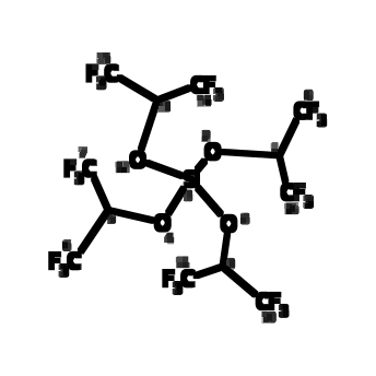 FC(F)(F)C(O[Si](OC(C(F)(F)F)C(F)(F)F)(OC(C(F)(F)F)C(F)(F)F)OC(C(F)(F)F)C(F)(F)F)C(F)(F)F